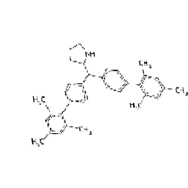 Cc1cc(C)c(-c2ccc(C(c3ccc(-c4c(C)cc(C)cc4C)cc3)C3CCCN3)cc2)c(C)c1